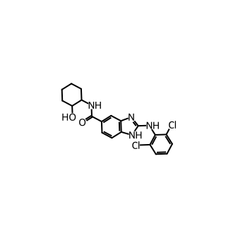 O=C(NC1CCCCC1O)c1ccc2[nH]c(Nc3c(Cl)cccc3Cl)nc2c1